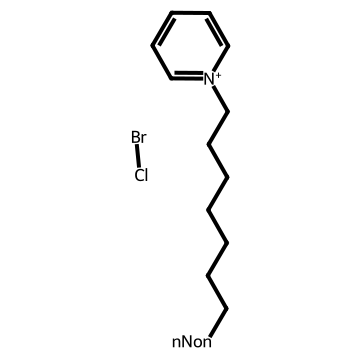 CCCCCCCCCCCCCCCC[n+]1ccccc1.ClBr